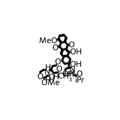 COc1cccc2c1C(=O)c1cc3c(c(O)c1C2=O)C[C@@](O)(/C(CO)=N/NC(=O)C(C)C)C[C@@H]3O[C@H]1C[C@H]2[C@H](O[C@@H]3[C@@H](OC)OCCN32)[C@H](C)O1